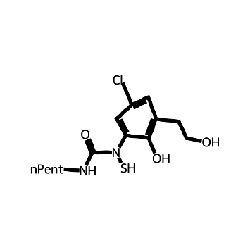 CCCCCNC(=O)N(S)c1cc(Cl)cc(CCO)c1O